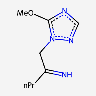 CCCC(=N)Cn1ncnc1OC